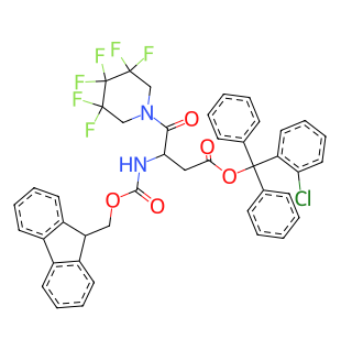 O=C(CC(NC(=O)OCC1c2ccccc2-c2ccccc21)C(=O)N1CC(F)(F)C(F)(F)C(F)(F)C1)OC(c1ccccc1)(c1ccccc1)c1ccccc1Cl